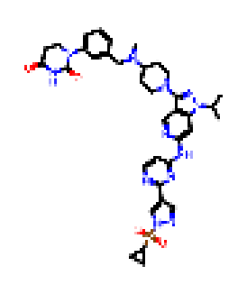 CC(C)n1nc(N2CCC(N(C)Cc3cccc(N4CCC(=O)NC4=O)c3)CC2)c2cnc(Nc3ccnc(-c4cnn(S(=O)(=O)C5CC5)c4)n3)cc21